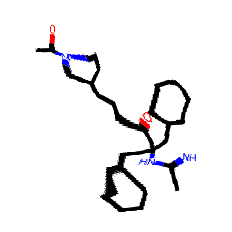 CC(=N)NC(CC1CCCCC1)(CC1CCCCC1)C(=O)CCCC1CCN(C(C)=O)C1